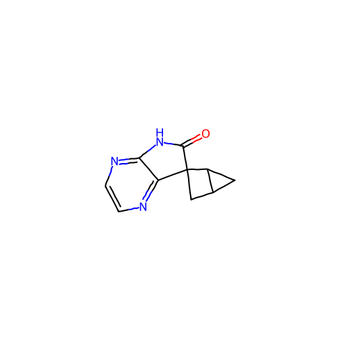 O=C1Nc2nccnc2C12CC1CC12